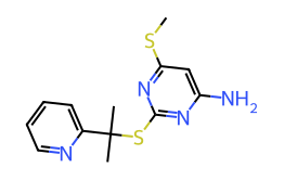 CSc1cc(N)nc(SC(C)(C)c2ccccn2)n1